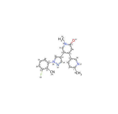 Cc1ccc(-c2cc(=O)n(C)cc2-c2cnn(-c3cccc(F)c3C#N)c2)cn1